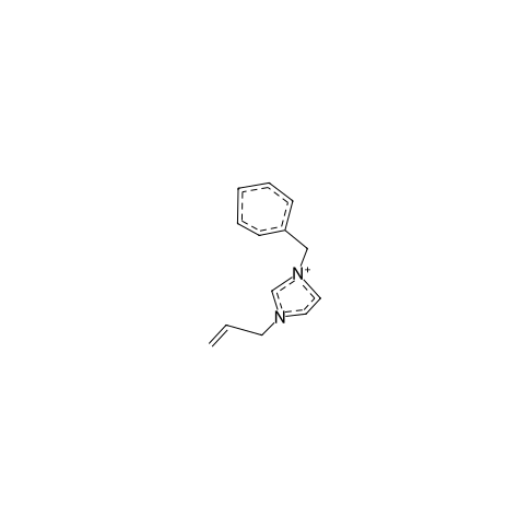 C=CCn1cc[n+](Cc2ccccc2)c1